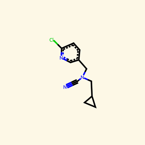 N#CN(Cc1ccc(Cl)nc1)CC1CC1